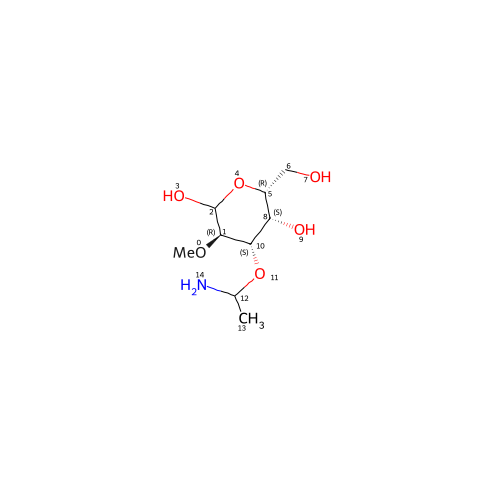 CO[C@H]1C(O)O[C@H](CO)[C@H](O)[C@@H]1OC(C)N